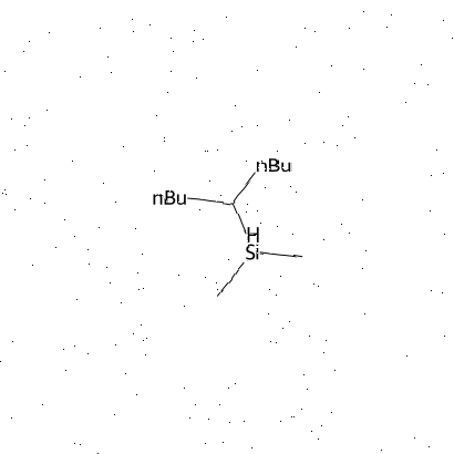 CCCCC(CCCC)[SiH](C)C